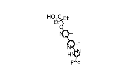 CCC(CC)(COc1cc(C)c(-c2cnc(-c3ncc(C(F)F)[nH]3)c(F)c2)cn1)C(=O)O